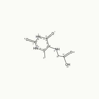 Cc1[nH]c(=O)[nH]c(=O)c1NCC(=O)O